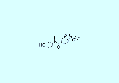 CC(C)(C)OC(=O)N1CCC(C(=O)N[C@H]2CC[C@](C)(O)CC2)CC12CC2